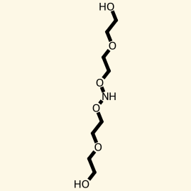 OCCOCCONOCCOCCO